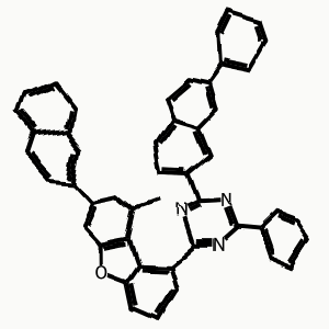 CC1CC(c2ccc3ccccc3c2)=Cc2oc3cccc(-c4nc(-c5ccccc5)nc(-c5ccc6ccc(-c7ccccc7)cc6c5)n4)c3c21